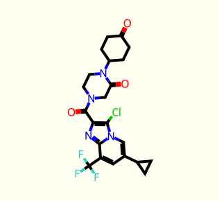 O=C1CCC(N2CCN(C(=O)c3nc4c(C(F)(F)F)cc(C5CC5)cn4c3Cl)CC2=O)CC1